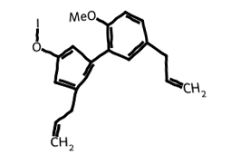 C=CCc1cc(OI)cc(-c2cc(CC=C)ccc2OC)c1